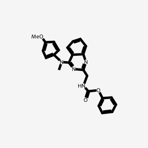 COc1ccc(N(C)c2nc(CNC(=O)Oc3ccccc3)nc3ccccc23)cc1